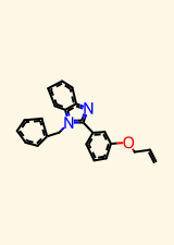 C=CCOc1cccc(-c2nc3ccccc3n2Cc2ccccc2)c1